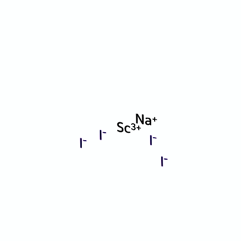 [I-].[I-].[I-].[I-].[Na+].[Sc+3]